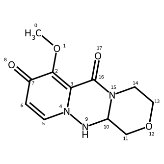 COc1c2n(ccc1=O)NC1COCCN1C2=O